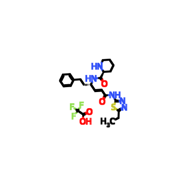 CCc1nnc(NC(=O)/C=C/[C@H](CCc2ccccc2)NC(=O)[C@@H]2CCCCN2)s1.O=C(O)C(F)(F)F